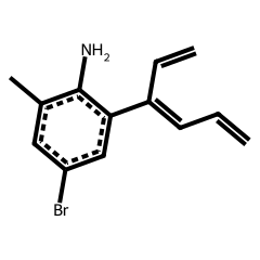 C=C/C=C(\C=C)c1cc(Br)cc(C)c1N